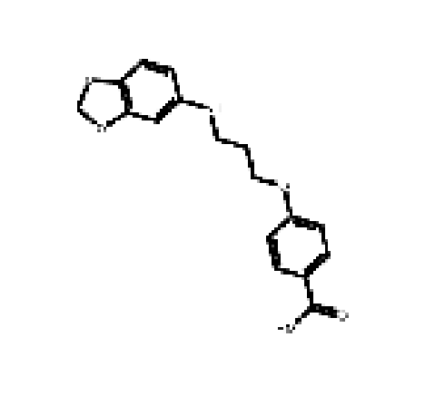 O=C(O)c1ccc(OCCCNc2ccc3c(c2)OCO3)cc1